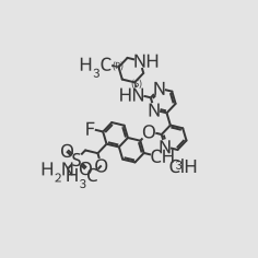 COC(CS(N)(=O)=O)c1c(F)ccc2c(Oc3ncccc3-c3ccnc(N[C@@H]4CNC[C@H](C)C4)n3)c(C)ccc12.Cl